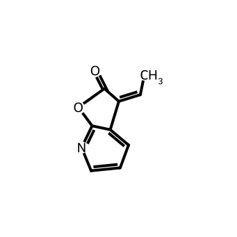 CC=C1C(=O)Oc2ncccc21